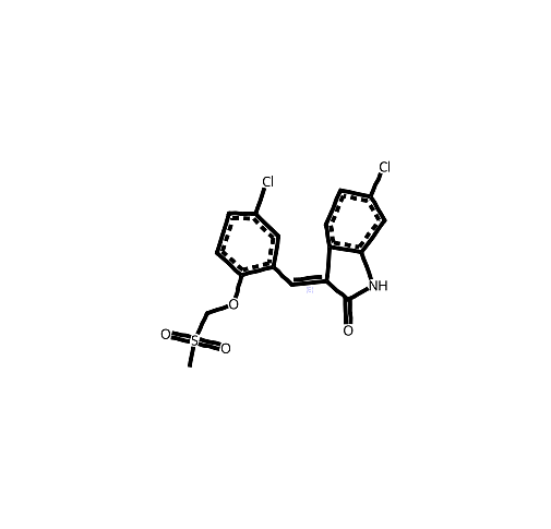 CS(=O)(=O)COc1ccc(Cl)cc1/C=C1/C(=O)Nc2cc(Cl)ccc21